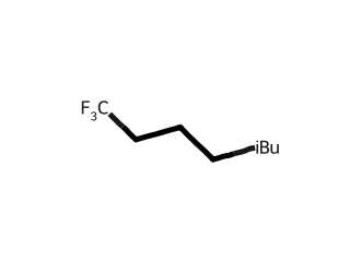 [CH2]C(CC)CCCC(F)(F)F